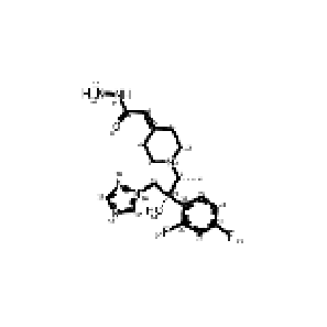 C[C@@H](N1CCC(=CC(=O)NN)CC1)[C@](O)(Cn1cncn1)c1ccc(F)cc1F